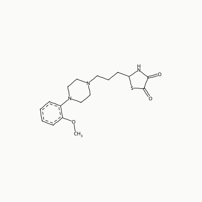 COc1ccccc1N1CCN(CCCC2NC(=O)C(=O)S2)CC1